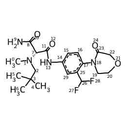 CN(CC(C)(C)C)[C@H](C(N)=O)C(=O)Nc1ccc(N2CCOCC2=O)c(C(F)F)c1